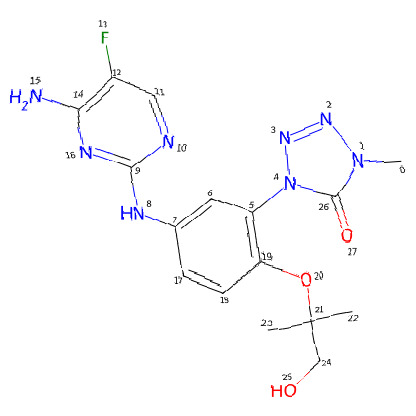 Cn1nnn(-c2cc(Nc3ncc(F)c(N)n3)ccc2OC(C)(C)CO)c1=O